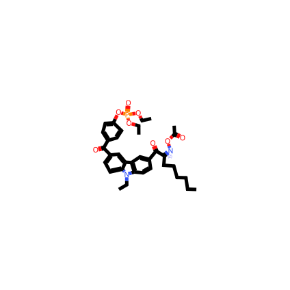 CCCCCC/C(=N/OC(C)=O)C(=O)c1ccc2c(c1)c1cc(C(=O)c3ccc(OP(=O)(OCC)OCC)cc3)ccc1n2CC